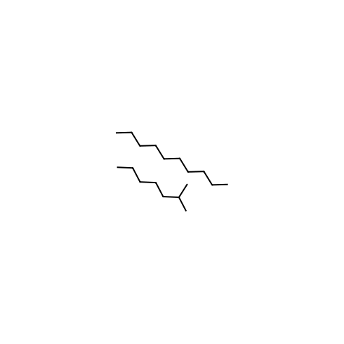 CCCCCC(C)C.CCCCCCCCCC